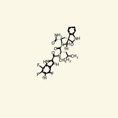 [2H]c1c(F)c(F)c2[nH]c(C(=O)N(C)[C@@H](CC(C)C)C(=O)N3[C@H](C(N)=O)C[C@]4(C(=O)Nc5ccccc54)C3([2H])[2H])c([2H])c2c1F